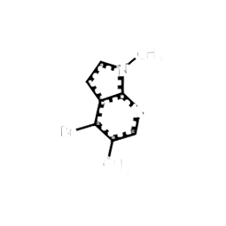 Cc1cnc2c(ccn2C)c1Br